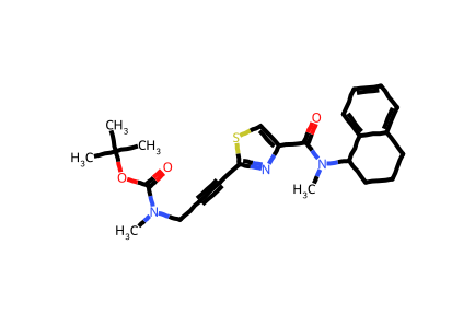 CN(CC#Cc1nc(C(=O)N(C)C2CCCc3ccccc32)cs1)C(=O)OC(C)(C)C